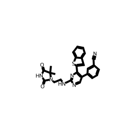 CC1(C)C(=O)NC(=O)N1CCNc1ncc(-c2cccc(C#N)c2)c(-c2cc3ccccc3s2)n1